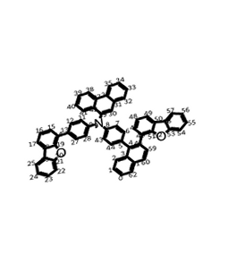 c1ccc2c(-c3ccc(N(c4ccc(-c5cccc6c5oc5ccccc56)cc4)c4cc5ccccc5c5ccccc45)cc3)c(-c3cccc4c3oc3ccccc34)ccc2c1